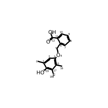 Cc1cc(OCc2ccccc2C(=O)O)c(C)c(F)c1O